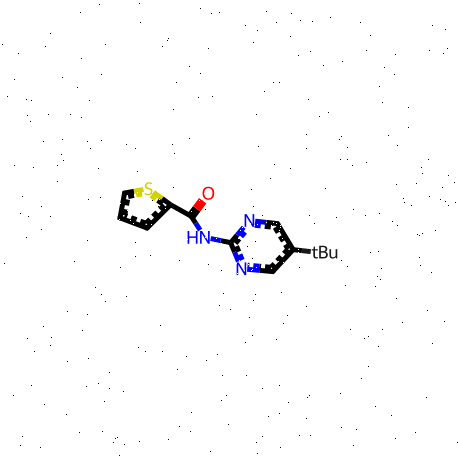 CC(C)(C)c1cnc(NC(=O)c2cccs2)nc1